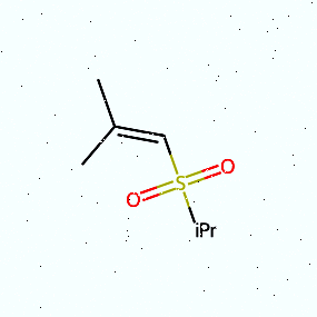 CC(C)=CS(=O)(=O)C(C)C